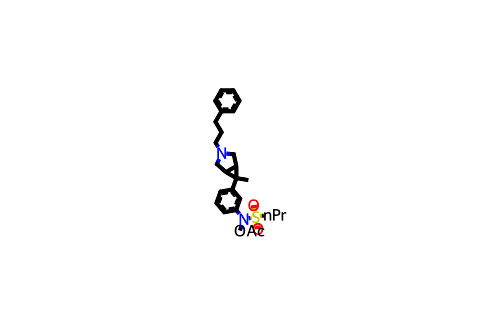 CCCS(=O)(=O)N(OC(C)=O)c1cccc(C2(C)C3CN(CCCc4ccccc4)CC32)c1